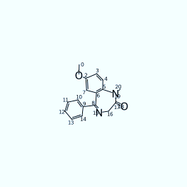 COc1ccc2c(c1)C(c1ccccc1)=NCC(=O)N2C